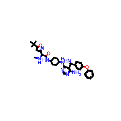 CNC(C(=O)NC1CCC(Nc2ncnc(N)c2C(=N)c2ccc(Oc3ccccc3)cc2)CC1)c1cc(C(C)(C)C)on1